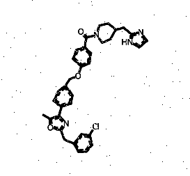 Cc1oc(Cc2cccc(Cl)c2)nc1-c1ccc(COc2ccc(C(=O)N3CCC(Cc4ncc[nH]4)CC3)cc2)cc1